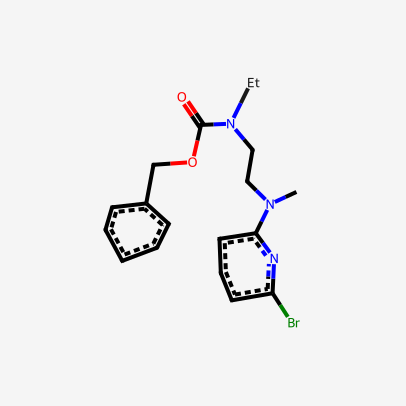 CCN(CCN(C)c1cccc(Br)n1)C(=O)OCc1ccccc1